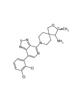 C[C@@H]1OCC2(CCN(c3ncc(-c4cccc(Cl)c4Cl)c4nsnc34)CC2)C1N